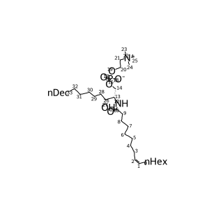 CCCCCC/C=C\CCCCCCCC(=O)N[C@@H](COP(=O)([O-])OCC[N+](C)(C)C)[C@H](O)CCCCCCCCCCCCCCC